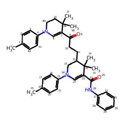 Cc1ccc(N2C=C(C(=O)CCC3CN(c4ccc(C)cc4)C=C(C(=O)Nc4ccccc4)C3(C)C)C(C)(C)CC2)cc1